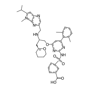 Cc1cccc(C)c1-c1cc(OCC(C[C@@H]2CCCCO2)NCc2cnc3cc(C(C)C)n(C)c3n2)nc(NS(=O)(=O)c2cccc(C(=O)O)c2)n1